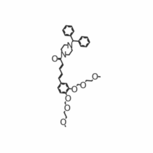 COCCOCOc1ccc(C=CC=CC(=O)N2CCN(C(c3ccccc3)c3ccccc3)CC2)cc1OCOCCOC